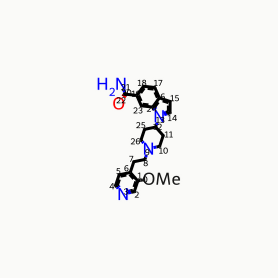 COc1cnccc1CCN1CCC(n2ccc3ccc(C(N)=O)cc32)CC1